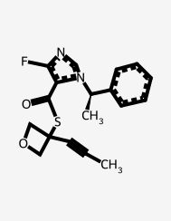 CC#CC1(SC(=O)c2c(F)ncn2[C@H](C)c2ccccc2)COC1